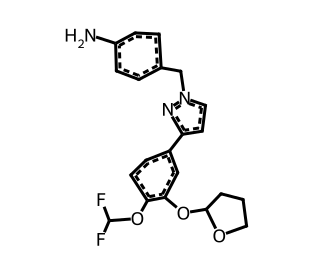 Nc1ccc(Cn2ccc(-c3ccc(OC(F)F)c(OC4CCCO4)c3)n2)cc1